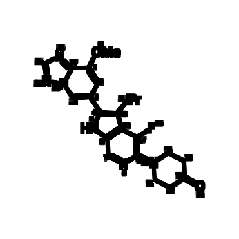 COc1cc(-c2[nH]c3cnc(N4CCC(=O)CC4)c(F)c3c2C(C)C)cn2ncnc12